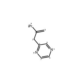 C=C(Cc1cnccn1)C(C)C